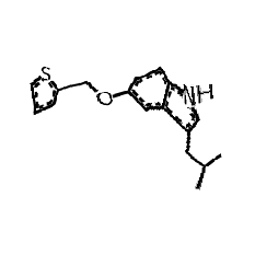 CC(C)Cc1c[nH]c2ccc(OCc3cccs3)cc12